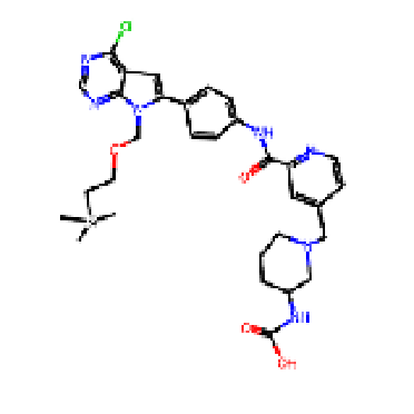 C[Si](C)(C)CCOCn1c(-c2ccc(NC(=O)c3cc(CN4CCCC(NC(=O)O)C4)ccn3)cc2)cc2c(Cl)ncnc21